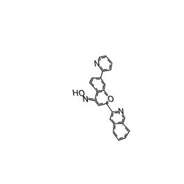 O/N=c1/cc(-c2cc3ccccc3cn2)oc2cc(-c3ccccn3)ccc12